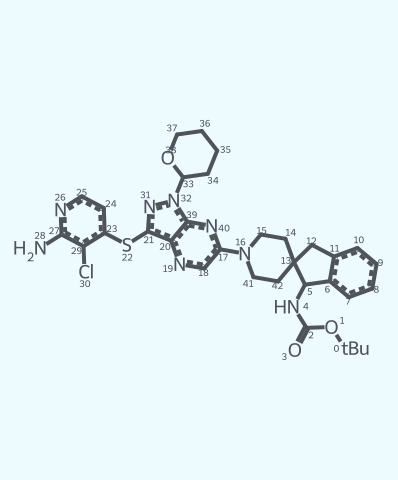 CC(C)(C)OC(=O)NC1c2ccccc2CC12CCN(c1cnc3c(Sc4ccnc(N)c4Cl)nn(C4CCCCO4)c3n1)CC2